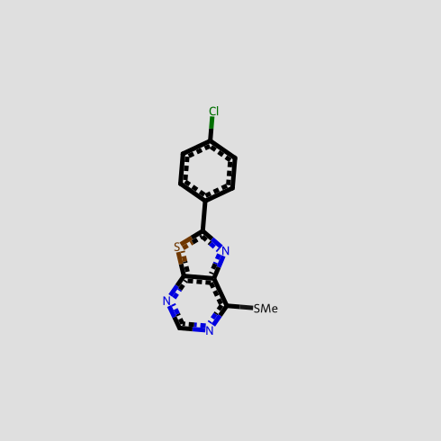 CSc1ncnc2sc(-c3ccc(Cl)cc3)nc12